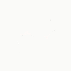 [CH]1CC2(C3CCCO3)CC1CO2